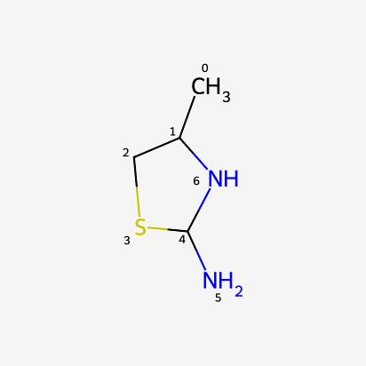 CC1CSC(N)N1